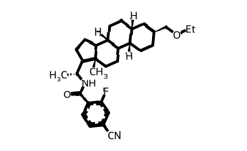 CCOC[C@H]1CC[C@@H]2C3CC[C@@]4(C)C(CCC4[C@@H](C)NC(=O)c4ccc(C#N)cc4F)[C@@H]3CC[C@@H]2C1